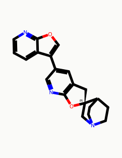 c1cnc2occ(-c3cnc4c(c3)C[C@@]3(CN5CCC3CC5)O4)c2c1